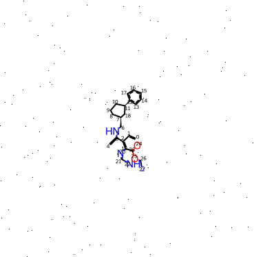 C=C/C(C(=C)NC[C@H]1CCC[C@@H](c2ccccc2)C1)=C(/N=C\N)C(=O)OCC